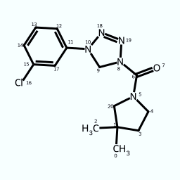 CC1(C)CCN(C(=O)N2CN(c3cccc(Cl)c3)N=N2)C1